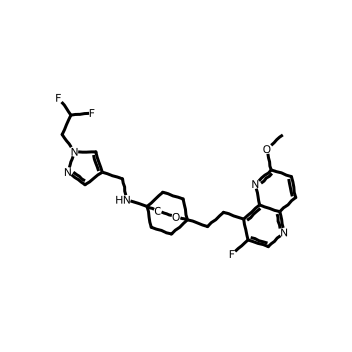 COc1ccc2ncc(F)c(CCC34CCC(NCc5cnn(CC(F)F)c5)(CC3)CO4)c2n1